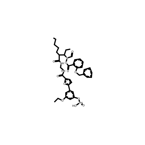 CCCCCC(C(=O)NCNC(=O)c1ccc(-c2cc(OCC)cc(O[PH](=O)O)c2)o1)C(CC)N(C=O)OC(=O)c1ccccc1OCc1ccccc1